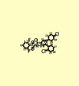 O=C(NS(=O)(=O)c1c(F)cccc1F)c1cn(-c2ccc(Cl)cc2)c(-c2ccccc2Cl)n1